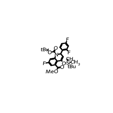 COC(=O)c1cc(F)cc2c1C(O[Si](C)(C)C(C)(C)C)=CC(c1ccc(F)cc1F)N2C(=O)OC(C)(C)C